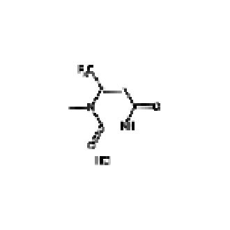 Cl.Cn1c(C(F)(F)F)cc(=O)[nH]c1=O